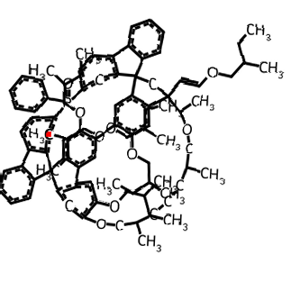 CCC(C)COC=CC12CC3(c4ccccc4-c4ccc(cc43)P(=O)(c3ccccc3)c3ccc4c(c3)C3(c5ccccc5-4)c4cc(OCC(C)CC)c(OCC(C)CC)cc4-c4cc(OCC(C)CC)c(cc43)OCC(C)CCCC(C)COC1C)c1cc(OCC(C)CC)c(OCC(C)CC)cc12